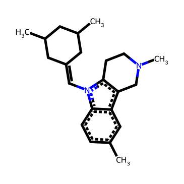 Cc1ccc2c(c1)c1c(n2C=C2CC(C)CC(C)C2)CCN(C)C1